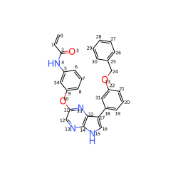 C=CC(=O)Nc1cccc(Oc2cnc3[nH]cc(-c4cccc(OCc5ccccc5)c4)c3n2)c1